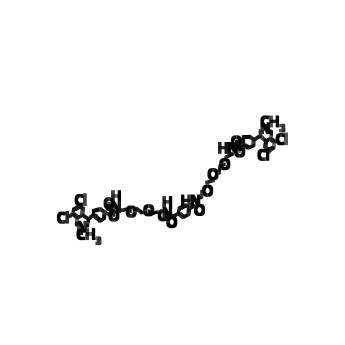 CN1Cc2c(Cl)cc(Cl)cc2C(c2ccc(S(=O)(=O)NCCOCCOCCOCCNC(=O)c3ccc(C(=O)NOCCOCCOCCNS(=O)(=O)c4ccc(C5CN(C)Cc6c(Cl)cc(Cl)cc65)cc4)cc3)cc2)C1